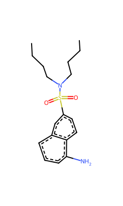 CCCCN(CCCC)S(=O)(=O)c1ccc2c(N)cccc2c1